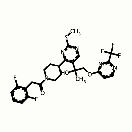 CSc1ncc(C(C)(O)COc2ccnc(C(F)(F)F)n2)c(C2CCN(C(=O)Cc3c(F)cccc3F)CC2)n1